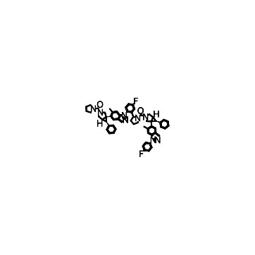 Cc1cc2c(cnn2-c2ccc(F)cc2)cc1[C@@]12CN(C(=O)N3CCCC3c3cc(F)ccc3-n3ncc4cc([C@]56CN(C(=O)N7CCCC7)C[C@H]5[C@@H]6c5ccccc5)c(C)cc43)C[C@@H]1[C@H]2c1ccccc1